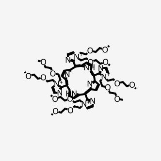 COCCOCC[N+]1(CCOCCOC)C=CN=C1c1c2nc(c(C3=NC=C[N+]3(CCOCCOC)CCOCCOC)c3ccc([nH]3)c(C3=NC=C[N+]3(CCOCCOC)CCOCCOC)c3nc(c(C4=NC=C[N+]4(CCOCCOC)CCOCCOC)c4ccc1[nH]4)C=C3)C=C2